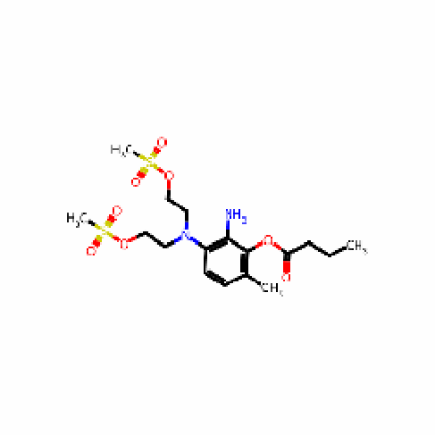 CCCC(=O)Oc1c(C)ccc(N(CCOS(C)(=O)=O)CCOS(C)(=O)=O)c1N